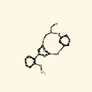 CC(C)CC1COc2cc(-c3ccccc3OC(F)(F)F)nc(n2)NSc2cccc(c2)N1